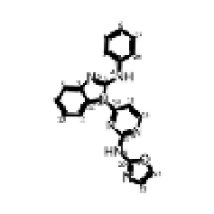 c1ccc(Nc2nc3ccccc3n2-c2ccnc(Nc3ncco3)n2)cc1